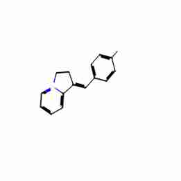 O=Cc1ccc(C=C2CC[n+]3ccccc32)cc1